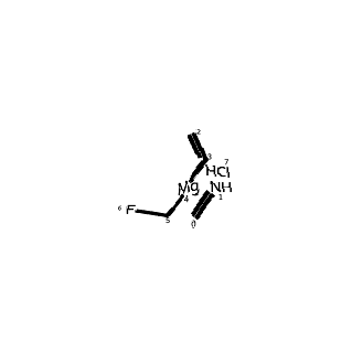 C=N.C=[CH][Mg][CH2]F.Cl